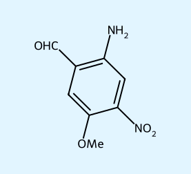 COc1cc(C=O)c(N)cc1[N+](=O)[O-]